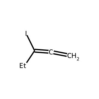 C=C=C(I)CC